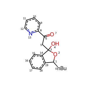 CCCCC1OC(O)(CC(=O)c2ccccn2)c2ccccc21